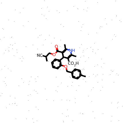 CC1=C(C(=O)O)C(c2ccccc2OCc2ccc(C)cc2)C(C(=O)OCC(C)C#N)=C(C)N1